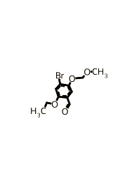 CCOc1cc(Br)c(OCOC)cc1C=O